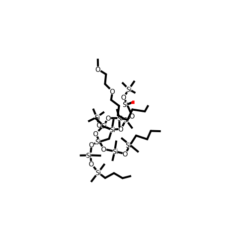 CCCC[Si](C)(C)O[Si](C)(C)O[Si](C[Si](C)(O[Si](C)(C)C)O[Si](C)(CCCOCCOC)O[Si](C)(C)O[Si](C)(C)C)(O[Si](C)(C)O[Si](C)(C)CCCC)O[Si](C)(C)O[Si](C)(C)CCCC